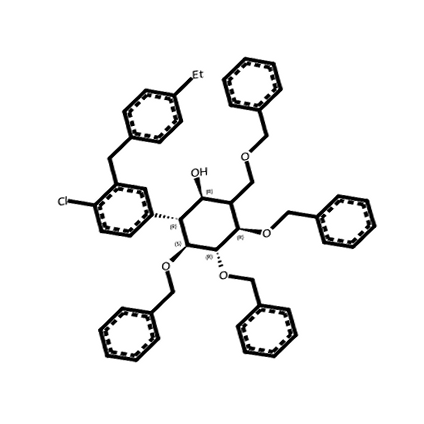 CCc1ccc(Cc2cc([C@H]3[C@H](OCc4ccccc4)[C@@H](OCc4ccccc4)[C@H](OCc4ccccc4)C(COCc4ccccc4)[C@@H]3O)ccc2Cl)cc1